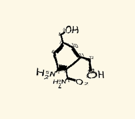 NC(=O)c1c(N)cc(CO)cc1CO